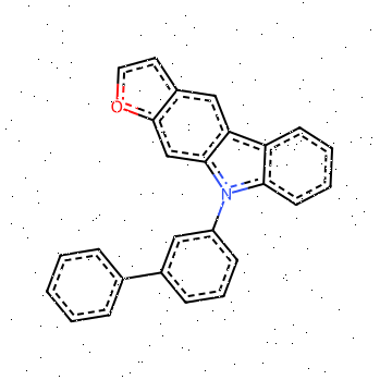 c1ccc(-c2cccc(-n3c4ccccc4c4cc5ccoc5cc43)c2)cc1